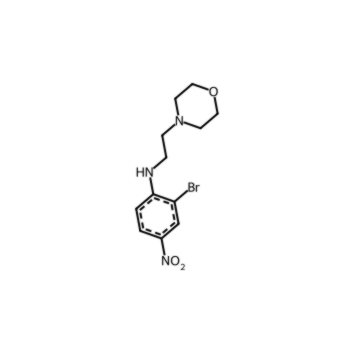 O=[N+]([O-])c1ccc(NCCN2CCOCC2)c(Br)c1